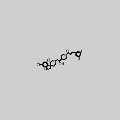 O=C(/C=C/c1cc(F)cc(F)c1)N1CCC(C(O)CN2CCC3(CC2)CNc2cc(Cl)cc(Cl)c23)CC1